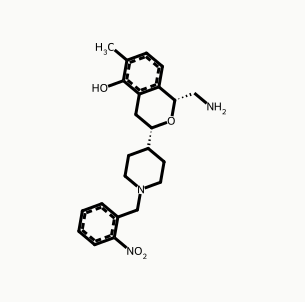 Cc1ccc2c(c1O)C[C@@H](C1CCN(Cc3ccccc3[N+](=O)[O-])CC1)O[C@H]2CN